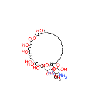 C[C@H]1C[C@H](O)[C@@H](C)/C=C/C=C/C=C/C=C/C=C/C=C/C=C/C(O[C@@H]2OC[C@@H](O)[C@H](N)[C@H]2O)C[C@@H]2OC(O)(CC(O)CC(O)C(O)CCC(O)CC(O)CC(=O)O1)C[C@H](O)C2C(=O)NCC(F)(F)F